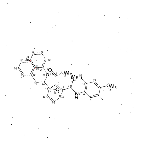 COC(=O)C1=C(C(=O)Nc2ccc(OC)cc2OC)C2C=CC1(C(Cc1ccccc1)Nc1ccccc1)O2